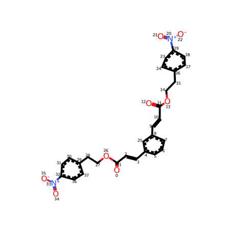 O=C(/C=C/c1cccc(/C=C/C(=O)OCCc2ccc([N+](=O)[O-])cc2)c1)OCCc1ccc([N+](=O)[O-])cc1